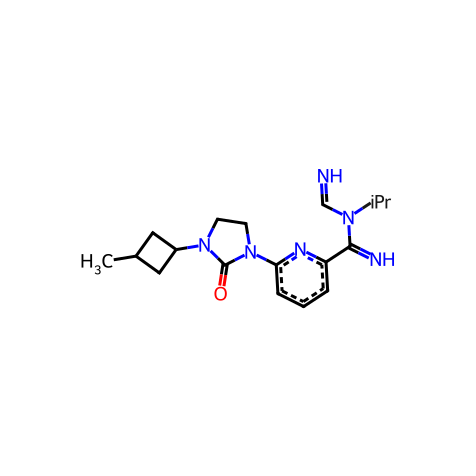 CC1CC(N2CCN(c3cccc(C(=N)N(C=N)C(C)C)n3)C2=O)C1